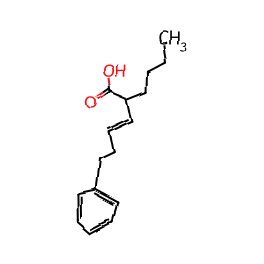 CCCCC(C=CCCc1ccccc1)C(=O)O